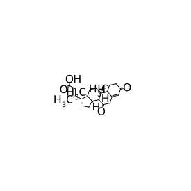 C[C@H](CC(=O)O)[C@H]1CC[C@H]2[C@@H]3C(=O)CC4=CC(=O)CC[C@]4(C)[C@H]3CC[C@]12C